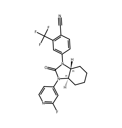 N#Cc1ccc(N2C(=O)N(c3ccnc(F)c3)[C@@H]3CCCC[C@H]32)cc1C(F)(F)F